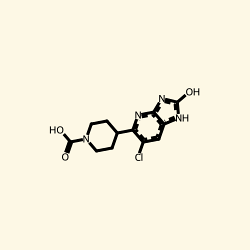 O=C(O)N1CCC(c2nc3nc(O)[nH]c3cc2Cl)CC1